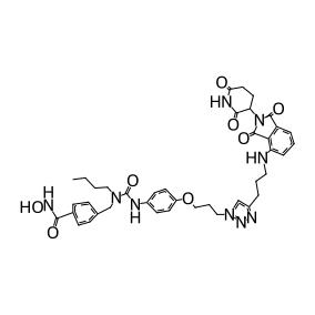 CCCCN(Cc1ccc(C(=O)NO)cc1)C(=O)Nc1ccc(OCCCn2cc(CCCNc3cccc4c3C(=O)N(C3CCC(=O)NC3=O)C4=O)nn2)cc1